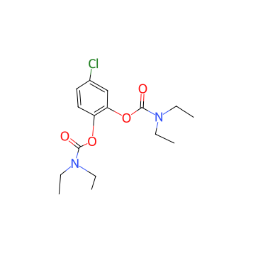 CCN(CC)C(=O)Oc1ccc(Cl)cc1OC(=O)N(CC)CC